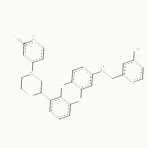 Cc1ccnc(CNc2ccc3c(c2)Sc2cccc(C4CN(c5cc[nH]c(=O)c5)CCO4)c2O3)c1